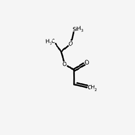 C=CC(=O)OC(C)O[SiH3]